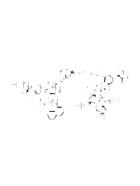 Cc1cc(C(C(=O)N2C[C@H](O)C[C@H]2C(=O)NCc2ccc(-c3scnc3C)cc2OCCOCCO[C@@H]2C[C@@H](COc3nc4c(c(N5CCN(C(N)=O)[C@@H](CC#N)C5)n3)CCN(c3cccc5ccccc35)C4)N(C)C2)C(C)C)on1